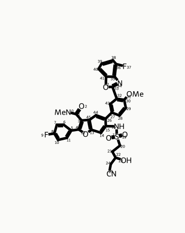 CNC(=O)c1c(-c2ccc(F)cc2)oc2cc(NS(=O)(=O)CCC(O)CC#N)c(-c3ccc(OC)c(-c4nc5c(F)cccc5o4)c3)cc12